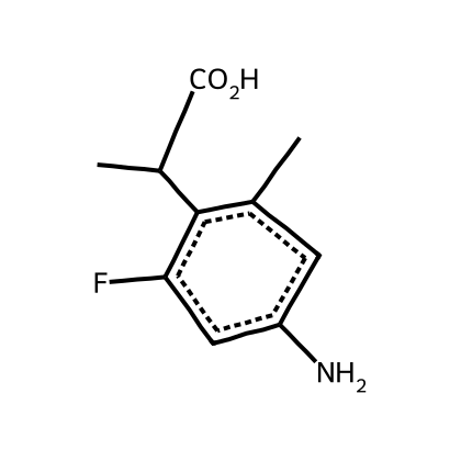 Cc1cc(N)cc(F)c1C(C)C(=O)O